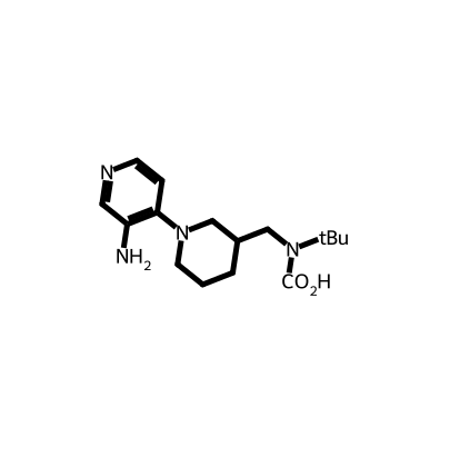 CC(C)(C)N(CC1CCCN(c2ccncc2N)C1)C(=O)O